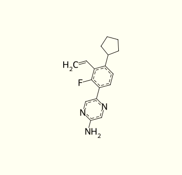 C=Cc1c(C2CCCC2)ccc(-c2cnc(N)cn2)c1F